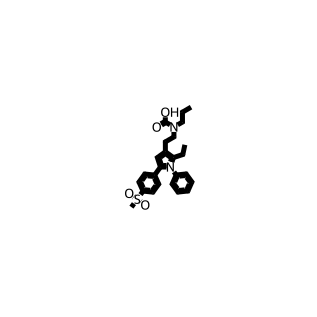 CCCN(CCc1cc(-c2ccc(S(C)(=O)=O)cc2)n(-c2ccccc2)c1CC)C(=O)O